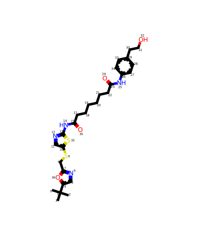 CC(C)(C)c1cnc(CSc2cnc(NC(=O)CCCCCCC(=O)Nc3ccc(CCO)cc3)s2)o1